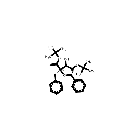 CC(C)(C)OC(=O)C(O)[C@@](Cc1ccccc1)(OCc1ccccc1)C(=O)OC(C)(C)C